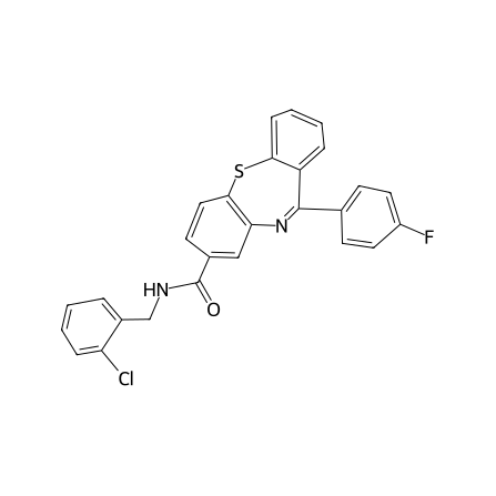 O=C(NCc1ccccc1Cl)c1ccc2c(c1)N=C(c1ccc(F)cc1)c1ccccc1S2